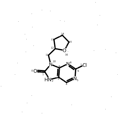 O=c1[nH]c2cnc(Cl)nc2n1CC1CCCO1